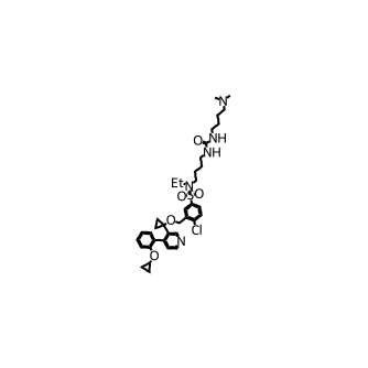 CCN(CCCCNC(=O)NCCCCN(C)C)S(=O)(=O)c1ccc(Cl)c(COC2(c3cnccc3-c3ccccc3OC3CC3)CC2)c1